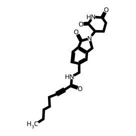 CCCCCC#CC(=O)NCc1ccc2c(c1)CN(C1CCC(=O)NC1=O)C2=O